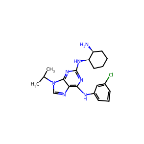 CC(C)n1cnc2c(Nc3cccc(Cl)c3)nc(N[C@@H]3CCCC[C@@H]3N)nc21